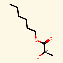 CCCCCCOC(=O)[C@@H](C)O